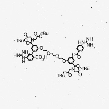 CC(C)(C)OC(=O)CN(CC(=O)OC(C)(C)C)C(=O)c1cc(OCCOCCOCCOc2cc(C(=O)N(CC(=O)OC(C)(C)C)CC(=O)OC(C)(C)C)cc(-c3cc(NC(=N)N)ccc3C(=O)O)c2)cc(OC(=O)c2ccc(NC(=N)N)cc2)c1